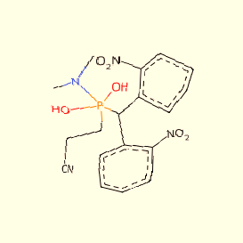 CN(C)P(O)(O)(CCC#N)C(c1ccccc1[N+](=O)[O-])c1ccccc1[N+](=O)[O-]